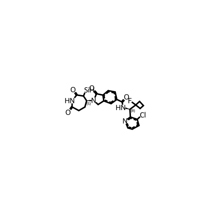 O=C1CC[C@H](N2Cc3cc(C(=O)N[C@H](c4ncccc4Cl)C4(F)CCC4)ccc3C2=O)C([SiH3])C(=O)N1